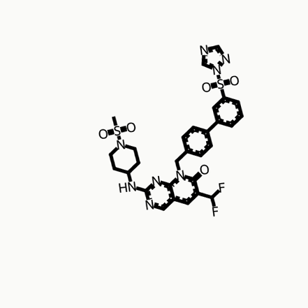 CS(=O)(=O)N1CCC(Nc2ncc3cc(C(F)F)c(=O)n(Cc4ccc(-c5cccc(S(=O)(=O)n6cncn6)c5)cc4)c3n2)CC1